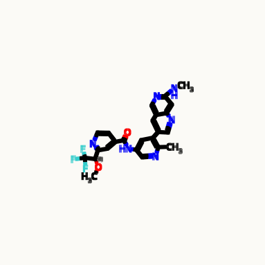 CNc1cc2ncc(-c3cc(NC(=O)c4ccnc([C@@H](OC)C(F)(F)F)c4)cnc3C)cc2cn1